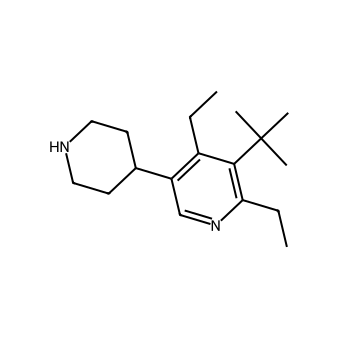 CCc1ncc(C2CCNCC2)c(CC)c1C(C)(C)C